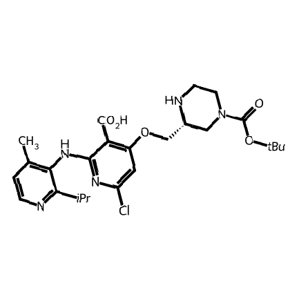 Cc1ccnc(C(C)C)c1Nc1nc(Cl)cc(OC[C@H]2CN(C(=O)OC(C)(C)C)CCN2)c1C(=O)O